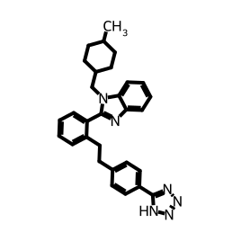 CC1CCC(Cn2c(-c3ccccc3CCc3ccc(-c4nnn[nH]4)cc3)nc3ccccc32)CC1